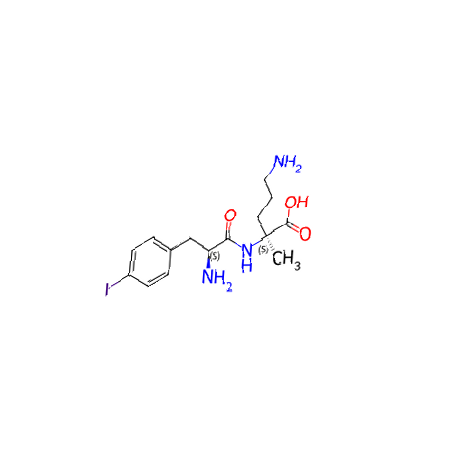 C[C@@](CCCN)(NC(=O)[C@@H](N)Cc1ccc(I)cc1)C(=O)O